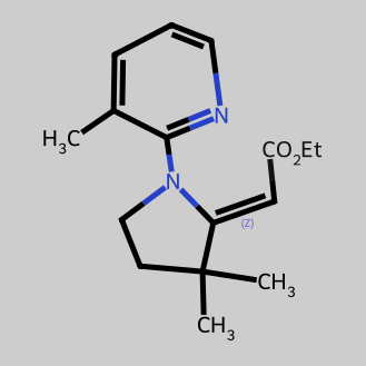 CCOC(=O)/C=C1\N(c2ncccc2C)CCC1(C)C